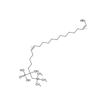 CCCC/C=C\CCCCCCCCCC/C=C\CCCCC(O)(C[N+](C)(C)C)P(=O)(O)O